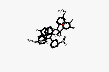 COc1ccc(C(c2cccc([N+](=O)[O-])c2)C(C)(OC(C)(c2ccc(F)c(F)c2)C(c2ccc(OC)cc2)c2cccc([N+](=O)[O-])c2)c2ccc(F)c(F)c2)cc1